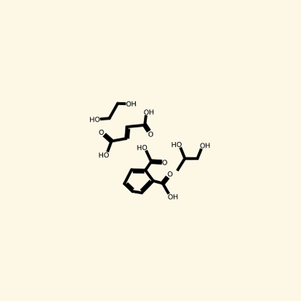 CC(O)CO.O=C(O)C=CC(=O)O.O=C(O)c1ccccc1C(=O)O.OCCO